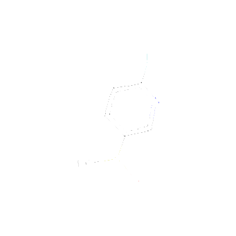 C[S+]([O-])c1ccc(F)nc1